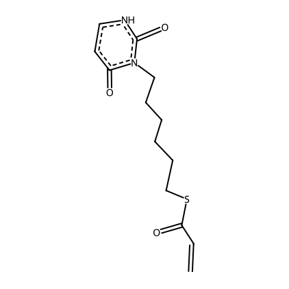 C=CC(=O)SCCCCCCn1c(=O)cc[nH]c1=O